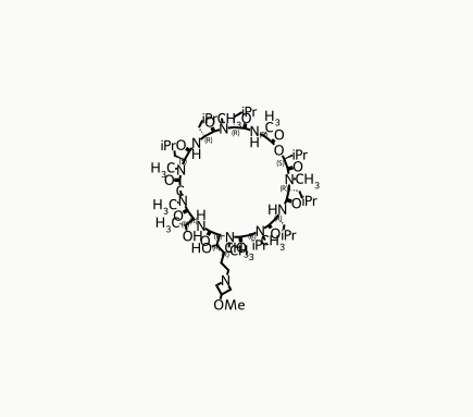 COC1CN(CC[C@@H](C)[C@@H](O)[C@@H]2C(=O)N[C@H]([C@@H](C)O)C(=O)N(C)CC(=O)N(C)[C@@H](CC(C)C)C(=O)N[C@H](CC(C)C)C(=O)N(C)[C@H](CC(C)C)C(=O)N[C@H](C)C(=O)O[C@@H](C(C)C)C(=O)N(C)[C@H](CC(C)C)C(=O)N[C@H](CC(C)C)C(=O)N(C)[C@H](C(C)C)C(=O)N2C)C1